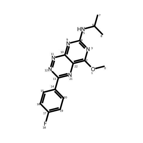 COc1nc(NC(C)C)nc2nnc(-c3ccc(F)cc3)nc12